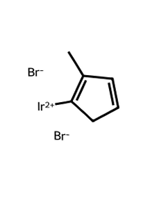 CC1=[C]([Ir+2])CC=C1.[Br-].[Br-]